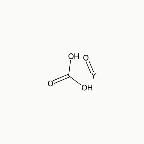 O=C(O)O.[O]=[Y]